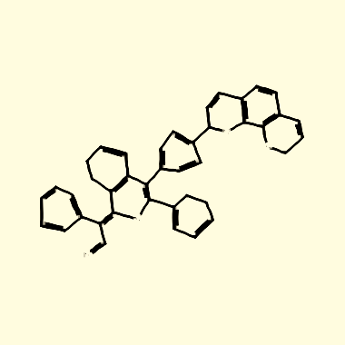 N=C/C(=C1\NC(C2=CC=CCC2)=C(c2ccc(C3C=Cc4ccc5c(c4N3)NCC=C5)cc2)C2=C1CCC=C2)c1ccccc1